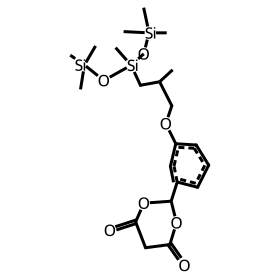 CC(COc1cccc(C2OC(=O)CC(=O)O2)c1)C[Si](C)(O[Si](C)(C)C)O[Si](C)(C)C